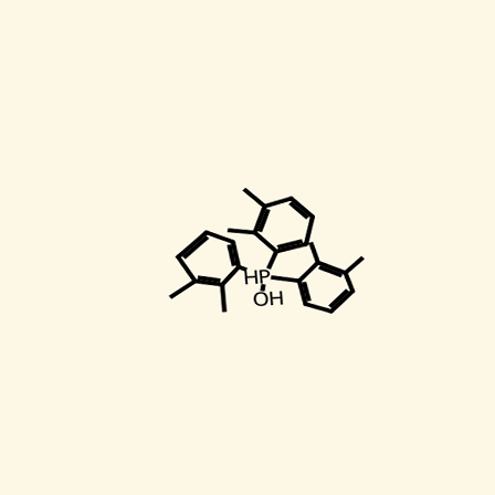 Cc1cccc([PH](O)(c2cccc(C)c2C)c2cccc(C)c2C)c1C